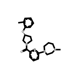 Cc1ccccc1O[C@@H]1CCN(C(=O)c2cccc(N3CCCN(C)CC3)n2)C1